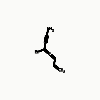 C=CC=C=C(C#CN)CC